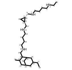 CCNCCCCNC[C@H]1C[C@@H]1CNCCCCNCC1C(C)CC2CC(CC)CC1C2